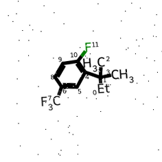 CCC(C)(C)c1cc(C(F)(F)F)ccc1F